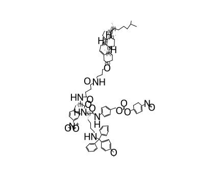 COc1ccc(C(NCCCC[C@H](NC(=O)[C@H](Cc2ccc([N+](=O)[O-])cc2)NC(=O)CCC(=O)NCCCO[C@H]2CC[C@@]3(C)C(=CC[C@H]4[C@@H]5CC[C@H]([C@H](C)CCCC(C)C)[C@@]5(C)CC[C@@H]43)C2)C(=O)Nc2ccc(COC(=O)OC3=CC=C(N=O)CC3)cc2)(c2ccccc2)c2ccccc2)cc1